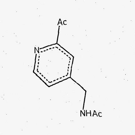 CC(=O)NCc1ccnc(C(C)=O)c1